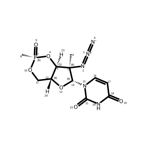 C[C@@]1(N=[N+]=[N-])[C@@H]2O[P@](C)(=O)OC[C@H]2O[C@H]1n1ccc(=O)[nH]c1=O